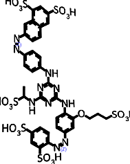 CC(Nc1nc(Nc2ccc(/N=N\c3ccc4cc(S(=O)(=O)O)cc(S(=O)(=O)O)c4c3)cc2)nc(Nc2ccc(/N=N\c3ccc(S(=O)(=O)O)cc3S(=O)(=O)O)cc2OCCCS(=O)(=O)O)n1)S(=O)(=O)O